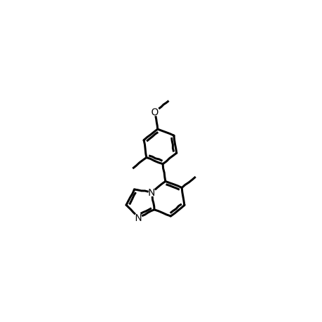 COc1ccc(-c2c(C)ccc3nccn23)c(C)c1